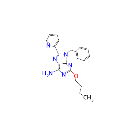 CCCCOc1nc(N)c2nc(-c3ccccn3)n(Cc3ccccc3)c2n1